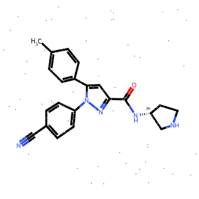 Cc1ccc(-c2cc(C(=O)N[C@@H]3CCNC3)nn2-c2ccc(C#N)cc2)cc1